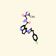 N#C[C@@H]1CSCN1C(=O)CNC(=O)c1ccnc2ccc(N3CC(Cc4ccc(Cl)cc4)C3)cc12